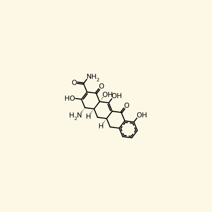 NC(=O)C1=C(O)[C@@H](N)[C@@H]2C[C@@H]3Cc4cccc(O)c4C(=O)C3=C(O)[C@]2(O)C1=O